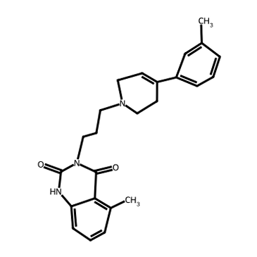 Cc1cccc(C2=CCN(CCCn3c(=O)[nH]c4cccc(C)c4c3=O)CC2)c1